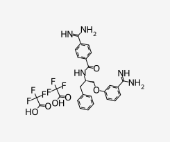 N=C(N)c1ccc(C(=O)N[C@@H](COc2cccc(C(=N)N)c2)Cc2ccccc2)cc1.O=C(O)C(F)(F)F.O=C(O)C(F)(F)F